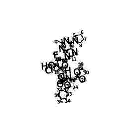 Cc1nc(N2CCCC2)c2ncn([C@@H]3O[C@](CCl)(CO[P@](=O)(N[C@@H](C)C(=O)OC(C)C)Oc4ccccc4)[C@@H](O)[C@H]3F)c2n1